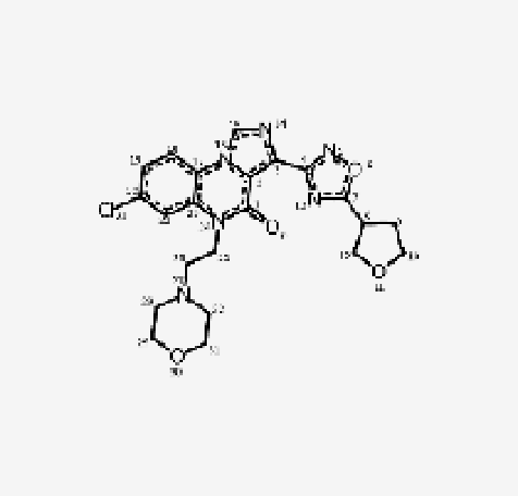 O=c1c2c(-c3noc(C4CCOC4)n3)ncn2c2ccc(Cl)cc2n1CCN1CCOCC1